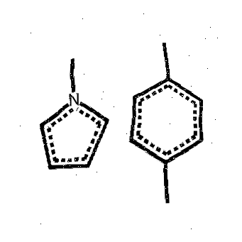 Cc1ccc(C)cc1.Cn1cccc1